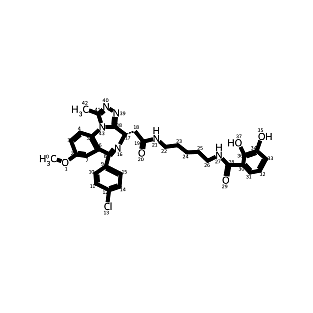 COc1ccc2c(c1)C(c1ccc(Cl)cc1)=N[C@@H](CC(=O)NCCCCCNC(=O)c1cccc(O)c1O)c1nnc(C)n1-2